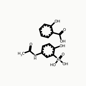 CC(=O)Nc1ccc(O)c([As](=O)(O)O)c1.O=C(O)c1ccccc1O